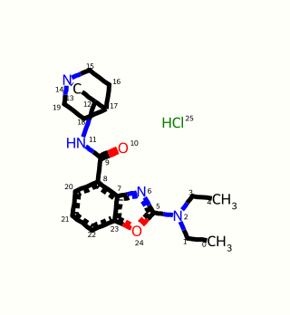 CCN(CC)c1nc2c(C(=O)NC3CN4CCC3CC4)cccc2o1.Cl